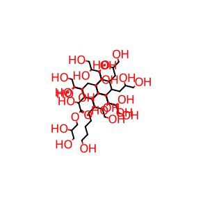 O=C(OCC(O)CO)C(O)C(CC(O)CO)C(CC(O)CO)C(CC(O)CO)C(CC(O)CO)C(CC(O)CO)C(CC(O)CO)C(CC(O)CO)C(CC(O)CO)C(CCCCCCCO)CC(O)CO